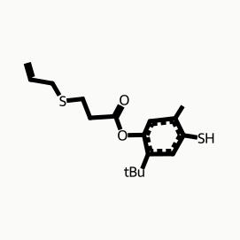 C=CCSCCC(=O)Oc1cc(C)c(S)cc1C(C)(C)C